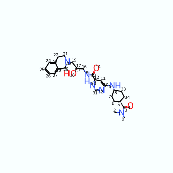 CN(C)C(=O)[C@H]1CC[C@@H](Nc2cc(C(=O)NC[C@H](O)CN3CCc4ccccc4C3)ncn2)CC1